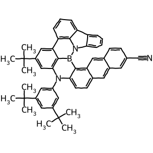 CC(C)(C)c1cc(N2c3cc(C(C)(C)C)cc4c3B(c3c2ccc2cc5cc(C#N)ccc5cc32)n2c3ccccc3c3cccc-4c32)cc(C(C)(C)C)c1